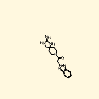 N=C1NCC2(CCN(C(=O)Cn3nc4ccccc4n3)CC2)N1